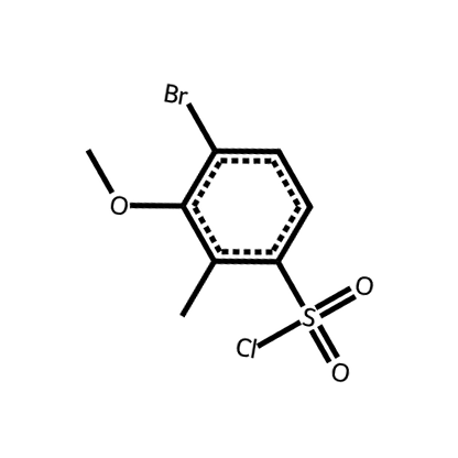 COc1c(Br)ccc(S(=O)(=O)Cl)c1C